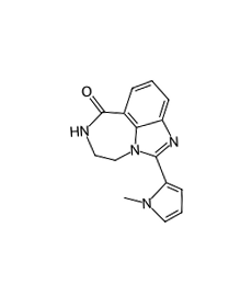 Cn1cccc1-c1nc2cccc3c2n1CCNC3=O